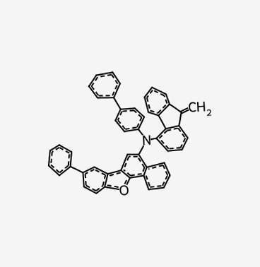 C=C1c2ccccc2-c2c1cccc2N(c1ccc(-c2ccccc2)cc1)c1cc2c3cc(-c4ccccc4)ccc3oc2c2ccccc12